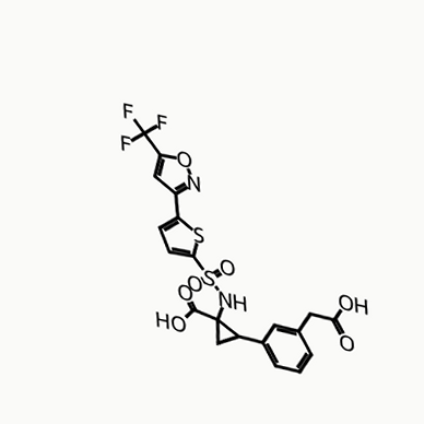 O=C(O)Cc1cccc(C2CC2(NS(=O)(=O)c2ccc(-c3cc(C(F)(F)F)on3)s2)C(=O)O)c1